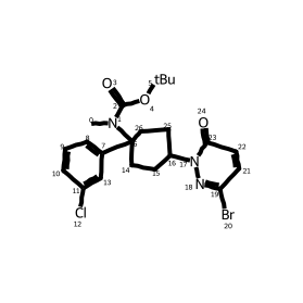 CN(C(=O)OC(C)(C)C)C1(c2cccc(Cl)c2)CCC(n2nc(Br)ccc2=O)CC1